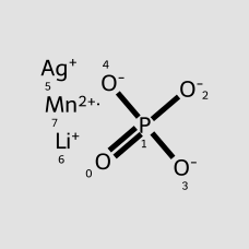 O=P([O-])([O-])[O-].[Ag+].[Li+].[Mn+2]